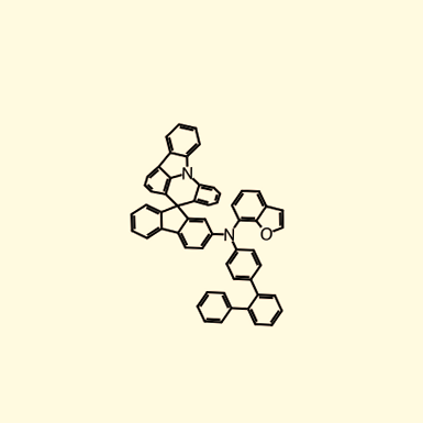 c1ccc(-c2ccccc2-c2ccc(N(c3ccc4c(c3)C3(c5ccccc5-4)c4ccccc4-n4c5ccccc5c5cccc3c54)c3cccc4ccoc34)cc2)cc1